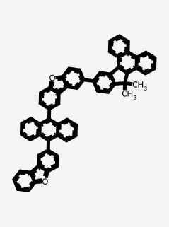 CC1(C)c2ccc(-c3ccc4oc5ccc(-c6c7ccccc7c(-c7ccc8oc9ccccc9c8c7)c7ccccc67)cc5c4c3)cc2-c2c1c1ccccc1c1ccccc21